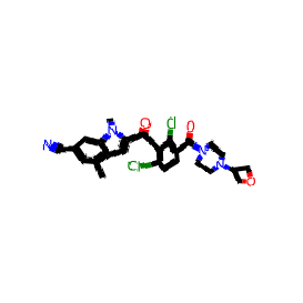 Cc1cc(C#N)cc2c1cc(C(=O)c1c(Cl)ccc(C(=O)N3CCN(C4COC4)CC3)c1Cl)n2C